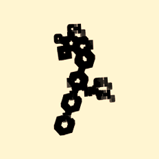 CN1C(=O)C2(CCC2)c2c1cnc1ccc(-c3cnc(N4CCC(N5CCCCC5)CC4)c(N=S(C)C)c3)cc21